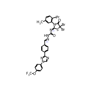 Cc1ccc(C(C)C)c(N2C(=O)C(Br)(Br)S/C2=N\C(=O)N/N=C/c2ccc(-c3ncn(-c4ccc(OC(F)(F)F)cc4)n3)cc2)c1